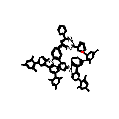 Cc1cc(C)c(-c2ccc3c(c2)c2cc(-c4c(C)cc(C)cc4C)ccc2n3-c2cccc(-c3cc(-c4cc(-c5ccccc5)nc(-c5ccccc5)n4)ccc3-n3c4ccc(-c5c(C)cc(C)cc5C)cc4c4cc(-c5c(C)cc(C)cc5C)ccc43)c2)c(C)c1